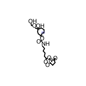 O=C(CCCCCNC(=O)O[C@H]1/C=C/CC[C@@](O)(COCO)CC1)ON1C(=O)CCC1=O